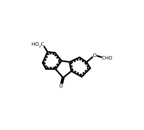 O=COc1ccc2c(c1)-c1cc(C(=O)O)ccc1C2=O